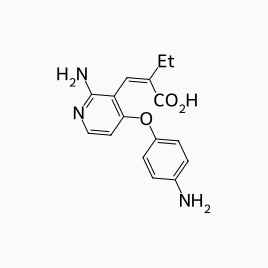 CCC(=Cc1c(Oc2ccc(N)cc2)ccnc1N)C(=O)O